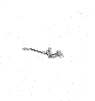 CCCCCCCCCCCCCCCCCCOCC(COP(=O)(O)CCC[N+](C)(C)C)OC(=O)CC